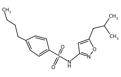 CCCCc1ccc(S(=O)(=O)Nc2cc(CC(C)C)on2)cc1